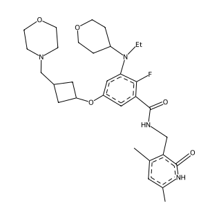 CCN(c1cc(OC2CC(CN3CCOCC3)C2)cc(C(=O)NCc2c(C)cc(C)[nH]c2=O)c1F)C1CCOCC1